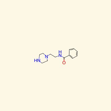 O=C(NCCN1CCNCC1)c1ccccc1